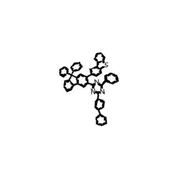 c1ccc(-c2ccc(-c3nc(-c4ccccc4)nc(-c4cc5c(cc4-c4ccc6sc7ccccc7c6c4)C(c4ccccc4)(c4ccccc4)c4ccccc4-5)n3)cc2)cc1